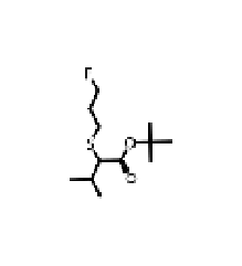 CC(C)C(SCCCF)C(=O)OC(C)(C)C